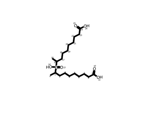 CC(CCCCCCCC(=O)O)P(=O)(O)C(C)CCCCCCCC(=O)O